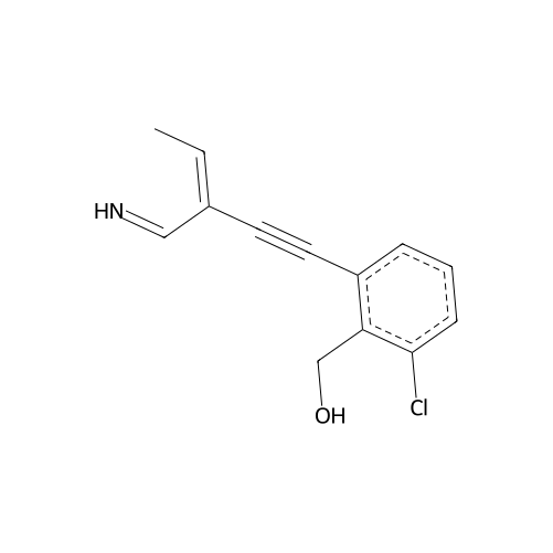 C/C=C(/C#Cc1cccc(Cl)c1CO)C=N